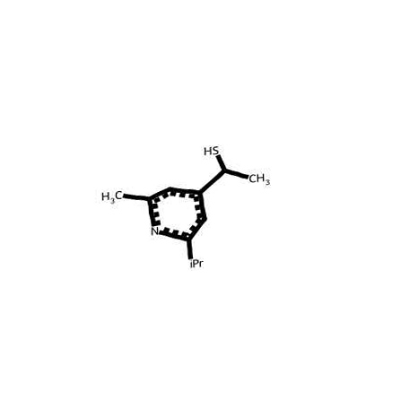 Cc1cc(C(C)S)cc(C(C)C)n1